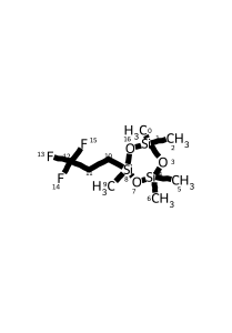 C[Si]1(C)O[Si](C)(C)O[Si](C)(CCC(F)(F)F)O1